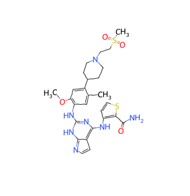 COc1cc(C2CCN(CCS(C)(=O)=O)CC2)c(C)cc1Nc1nc(Nc2ccsc2C(N)=O)c2ccnc-2[nH]1